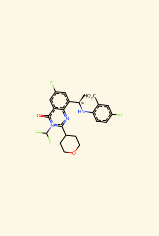 C[C@@H](Nc1ccc(F)cc1C(=O)O)c1cc(F)cc2c(=O)n(C(F)F)c(C3CCOCC3)nc12